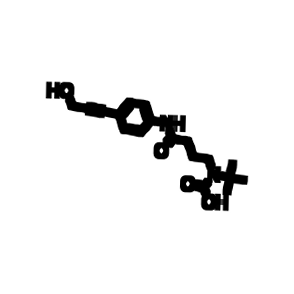 CC(C)(C)N(CCCC(=O)Nc1ccc(C#CCO)cc1)C(=O)O